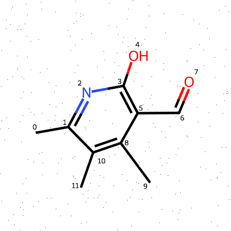 Cc1nc(O)c(C=O)c(C)c1C